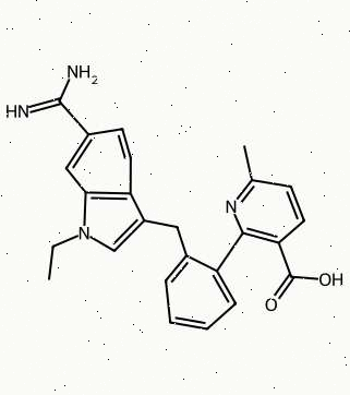 CCn1cc(Cc2ccccc2-c2nc(C)ccc2C(=O)O)c2ccc(C(=N)N)cc21